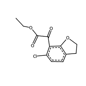 CCOC(=O)C(=O)c1c(Cl)ccc2c1OCC2